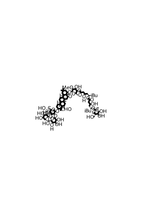 CC[C@H](C)[C@H](C[C@H](O)CC(=O)O[C@@H]1[C@H](O)[C@@H](OC)[C@H](OC(=O)[C@]23CCC(C)(C)C[C@H]2C2=CC[C@@H]4[C@@]5(C)CC[C@H](O[C@@H]6O[C@H](C(=O)O)[C@@H](O)[C@H](O[C@@H]7OC[C@@H](O)[C@H](O)[C@H]7O)[C@H]6O[C@@H]6O[C@H](CO)[C@H](O)[C@H](O)[C@H]6O)[C@@](C)(C=O)[C@@H]5CC[C@@]4(C)[C@]2(C)CC3)O[C@@H]1C)OC(=O)C[C@@H](O)C[C@H](O[C@@H]1O[C@@H](CO)[C@H](O)[C@@H](O)B1C)[C@@H](C)CC